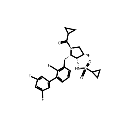 O=C(C1CC1)N1C[C@H](F)[C@H](NS(=O)(=O)C2CC2)[C@@H]1Cc1cccc(-c2cc(F)cc(F)c2)c1F